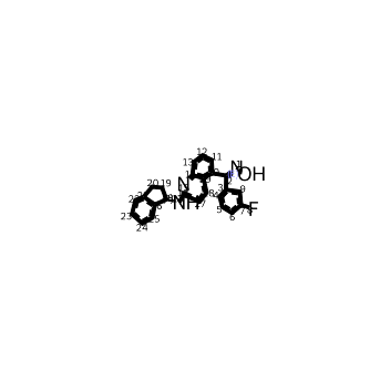 O/N=C(\c1cccc(F)c1)c1cccc2nc(N[C@@H]3CCc4ccccc43)ccc12